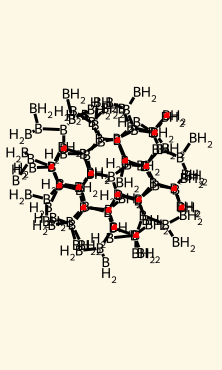 BB(B)B(B(B)B)B(B(B)B)B(B(B(B(B)B)B(B)B)B(B(B)B)B(B)B)B(B(B(B(B)B)B(B)B)B(B(B)B)B(B)B)B(B(B(B(B(B)B)B(B)B)B(B(B)B)B(B)B)B(B(B(B)B)B(B)B)B(B(B)B)B(B)B)B(B(B(B(B)B)B(B)B)B(B(B)B)B(B)B)B(B(B(B)B)B(B)B)B(B(B)B)B(B)B